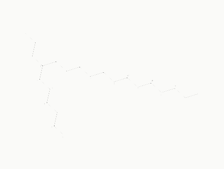 [CH2]CCC(CCCCCC)CCCCCCCCCCCCC